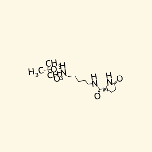 CC(C)(C)OC(=O)NCCCCCNC(=O)[C@H]1CCC(=O)N1